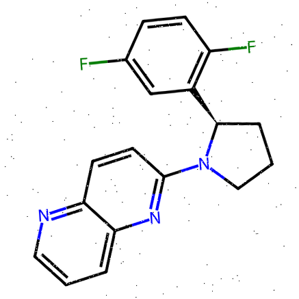 Fc1ccc(F)c([C@H]2CCCN2c2ccc3ncccc3n2)c1